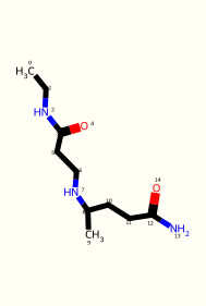 CCNC(=O)CCNC(C)CCC(N)=O